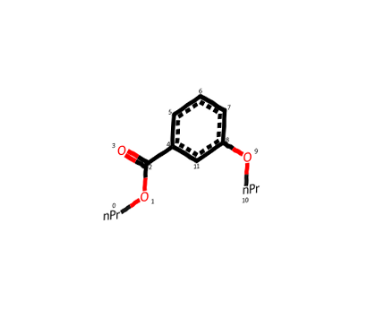 CCCOC(=O)c1cccc(OCCC)c1